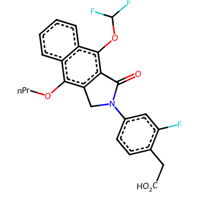 CCCOc1c2c(c(OC(F)F)c3ccccc13)C(=O)N(c1ccc(CC(=O)O)c(F)c1)C2